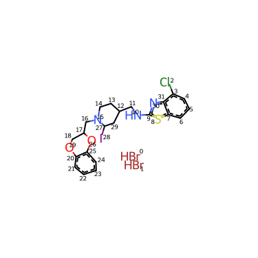 Br.Br.Clc1cccc2sc(NCC3CCN(CC4COc5ccccc5O4)C(I)C3)nc12